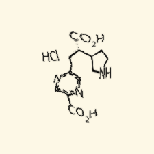 Cl.O=C(O)c1cnc(C[C@H](C(=O)O)[C@H]2CCNC2)cn1